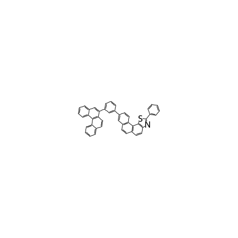 c1ccc(-c2nc3ccc4ccc5cc(-c6cccc(-c7cc8ccccc8c8c7ccc7ccccc78)c6)ccc5c4c3s2)cc1